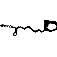 [CH2]CCCCC(=O)OCCCCCc1ccccc1